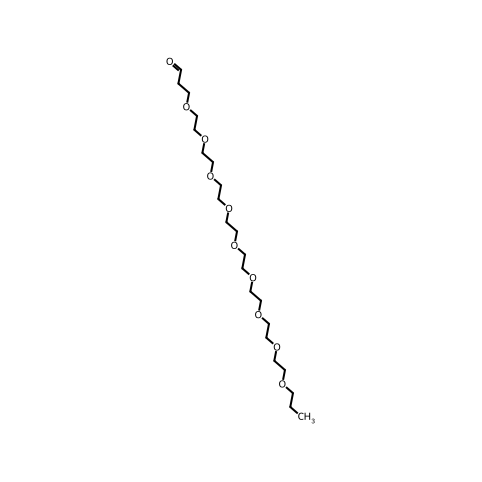 CCCOCCOCCOCCOCCOCCOCCOCCOCCOCCC=O